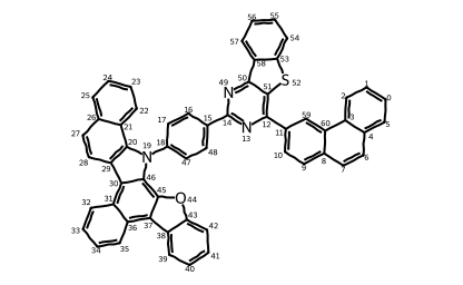 c1ccc2c(c1)ccc1ccc(-c3nc(-c4ccc(-n5c6c7ccccc7ccc6c6c7ccccc7c7c8ccccc8oc7c65)cc4)nc4c3sc3ccccc34)cc12